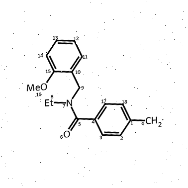 [CH2]c1ccc(C(=O)N(CC)Cc2ccccc2OC)cc1